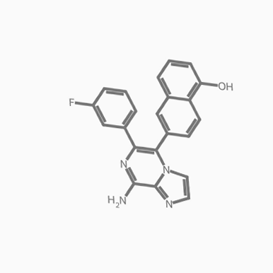 Nc1nc(-c2cccc(F)c2)c(-c2ccc3c(O)cccc3c2)n2ccnc12